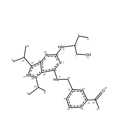 CCC(CO)Nc1nc(NCc2cccc(C(C)=O)c2)c2c(n1)c(C(C)C)nn2C(C)C